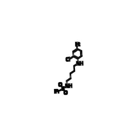 CCc1ccc(NCCCCCNS(=O)(=O)C(C)C)c(Cl)c1